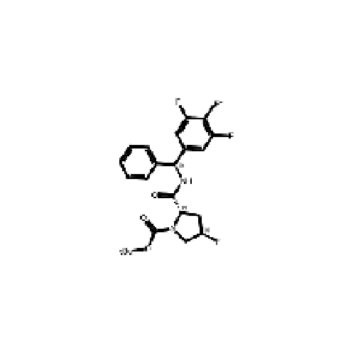 CC(C)c1c(F)cc([C@@H](NC(=O)[C@@H]2C[C@@H](F)CN2C(=O)OC(C)(C)C)c2ccccc2)cc1F